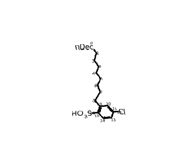 CCCCCCCCCCCCCCCCCCc1cc(Cl)ccc1S(=O)(=O)O